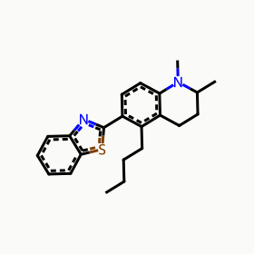 CCCCc1c(-c2nc3ccccc3s2)ccc2c1CCC(C)N2C